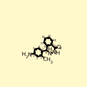 Cc1cc(N)ccc1C1NNC(=O)c2ccccc21